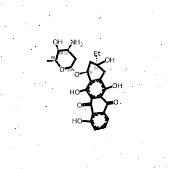 CC[C@]1(O)Cc2c(O)c3c(c(O)c2[C@@H](O[C@H]2C[C@H](N)[C@H](O)[C@H](C)O2)C1)C(=O)c1c(O)cccc1C3=O